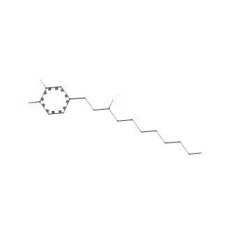 CCCCCCCCC(O)CCc1ccc(O)c(O)c1